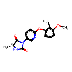 COc1cccc(Oc2ccc(N3C(=O)N[C@H](C)C3=O)cn2)c1C